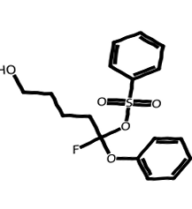 O=S(=O)(OC(F)(CCCCO)Oc1ccccc1)c1ccccc1